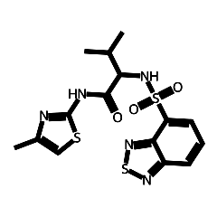 Cc1csc(NC(=O)C(NS(=O)(=O)c2cccc3nsnc23)C(C)C)n1